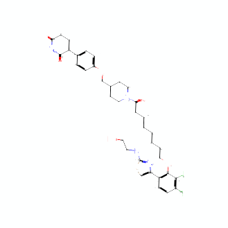 O=C1CCC(c2ccc(OCC3CCN(C(=O)CCCCCCCOc4c(-c5csc(NCCO)n5)ccc(F)c4F)CC3)cc2)C(=O)N1